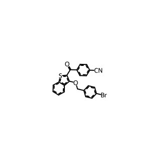 N#Cc1ccc(C(=O)c2sc3ccccc3c2OCc2ccc(Br)cc2)cc1